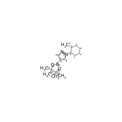 CC1CCCCC1n1cc(B2OC(C)(C)C(C)(C)O2)cn1